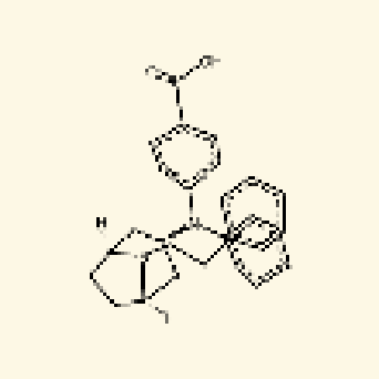 O=C(O)c1ccc(N(c2ccccc2)[C@H]2C[C@H]3CC[C@@H](C2)N3CCc2ccccc2)cc1